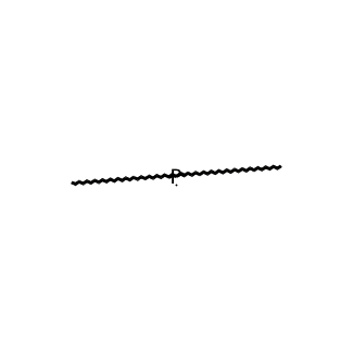 CCCCCCCCCCCCCCCCCCCCCCCCCC=C[P]C=CCCCCCCCCCCCCCCCCCCCCCCCCC